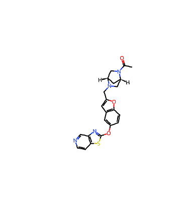 CC(=O)N1C[C@@H]2C[C@H]1CN2Cc1cc2cc(Oc3nc4cnccc4s3)ccc2o1